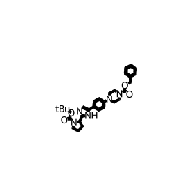 CC(C)(C)OC(=O)N1CCCC1c1ncc(-c2ccc(N3CCN(C(=O)OCc4ccccc4)CC3)cc2)[nH]1